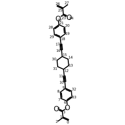 C=C(C)C(=O)Oc1ccc(C#CC2CCC(C#Cc3ccc(OC(=O)C(=C)C)cc3)CC2)cc1